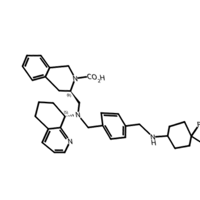 O=C(O)N1Cc2ccccc2C[C@@H]1CN(Cc1ccc(CNC2CCC(F)(F)CC2)cc1)[C@H]1CCCc2cccnc21